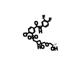 C[C@H](O)COCC1(O)CC(CS(=O)(=O)c2cc(C(=O)Nc3ccc(F)c(F)c3)ccc2Cl)C1